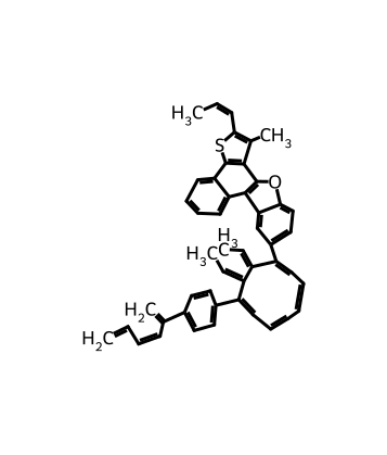 C=C/C=C\C(=C)c1ccc(-c2ccccccc(-c3ccc4oc5c6c(C)c(/C=C\C)sc6c6ccccc6c5c4c3)c(=C/C)/c2=C\C)cc1